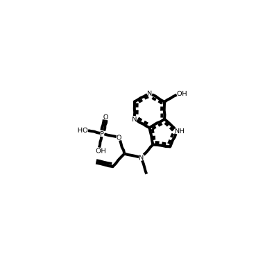 C=CC(OP(=O)(O)O)N(C)c1c[nH]c2c(O)ncnc12